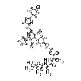 CC(NC(=O)OC(C)(C)C)C(=O)NC(C)C(=O)OCCOc1ccc(-c2c(C#N)c(SCc3csc(-c4ccc(Cl)cc4)n3)nc(N3CCCC3)c2C#N)cc1